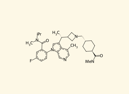 CNC(=O)[C@H]1CC[C@H](CN2CC([C@@H](C)c3cn(-c4ccc(F)cc4C(=O)N(C)C(C)C)c4cncc(C)c34)C2)CC1